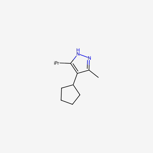 Cc1n[nH]c(C(C)C)c1C1CCCC1